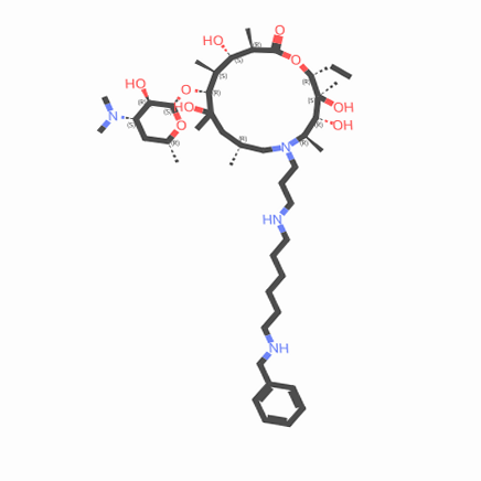 CC[C@H]1OC(=O)[C@H](C)[C@@H](O)[C@H](C)[C@@H](O[C@@H]2O[C@H](C)C[C@H](N(C)C)[C@H]2O)C(C)(O)C[C@@H](C)CN(CCCNCCCCCCNCc2ccccc2)[C@H](C)[C@@H](O)[C@]1(C)O